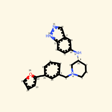 c1cc(CN2CCC[C@@H](Nc3ccc4[nH]ncc4c3)C2)cc(-c2ccco2)c1